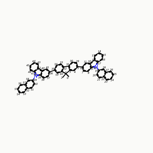 CC1(C)c2cc(-c3ccc4c(c3)c3ccccc3n4-c3ccc4ccccc4c3)ccc2-c2ccc(-c3ccc4c(c3)c3ccccc3n4-c3ccc4ccccc4c3)cc21